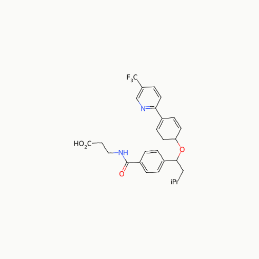 CC(C)CC(OC1C=CC(c2ccc(C(F)(F)F)cn2)=CC1)c1ccc(C(=O)NCCC(=O)O)cc1